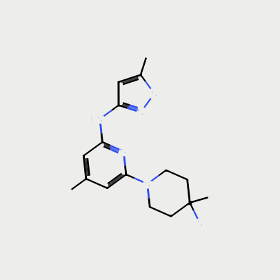 Cc1cc(Nc2cc(C)[nH]n2)nc(N2CCC(C)(N)CC2)c1